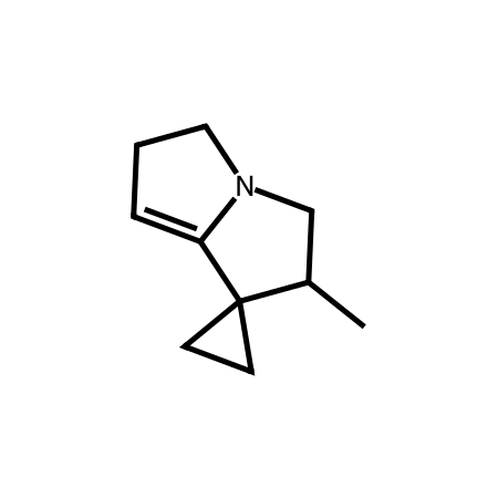 CC1CN2CCC=C2C12CC2